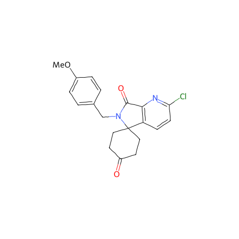 COc1ccc(CN2C(=O)c3nc(Cl)ccc3C23CCC(=O)CC3)cc1